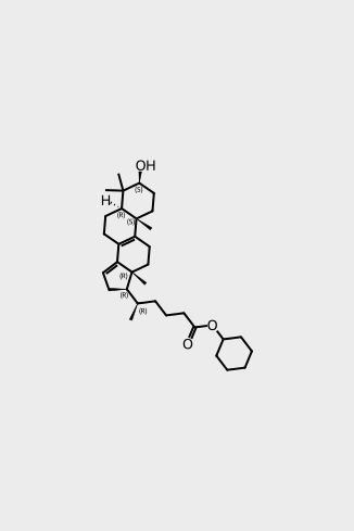 C[C@H](CCCC(=O)OC1CCCCC1)[C@H]1CC=C2C3=C(CC[C@@]21C)[C@@]1(C)CC[C@H](O)C(C)(C)[C@@H]1CC3